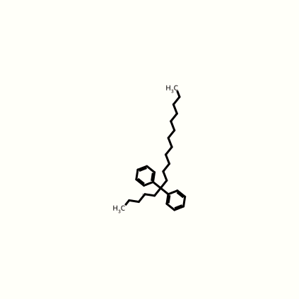 CCC[CH]CC(CCCCCCCCCCCC)(c1ccccc1)c1ccccc1